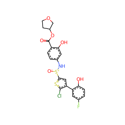 O=C(OC1CCOC1)c1ccc(N[S+]([O-])c2cc(-c3cc(F)ccc3O)c(Cl)s2)cc1O